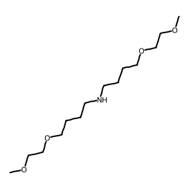 COCCOCCCCNCCCCOCCOC